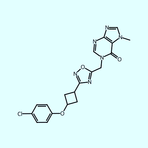 Cn1cnc2ncn(Cc3nc(C4CC(Oc5ccc(Cl)cc5)C4)no3)c(=O)c21